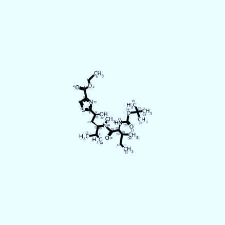 CCOC(=O)c1csc([C@@H](O)C[C@H](C(C)C)N(C)C(=O)[C@@H](NC(=O)OC(C)(C)C)C(C)CC)n1